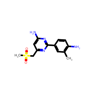 Cc1cc(-c2nc(N)cc(CS(C)(=O)=O)n2)ccc1N